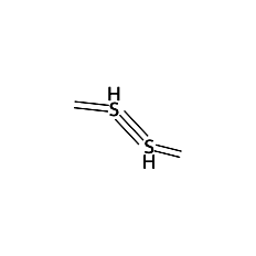 C=[SH]#[SH]=C